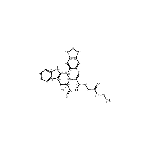 CCOC(=O)CC[C@@H]1NC(=O)[C@H]2Cc3c([nH]c4ccccc34)[C@@H](c3ccc4c(c3)OCO4)N2C1=O